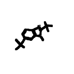 Cn1c(C(C)(C)C)nc2ccc(C(C)(C)C)cc21